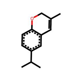 CC1=Cc2cc(C(C)C)ccc2OC1